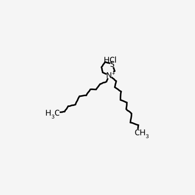 CCCCCCCCCC[N+]1(CCCCCCCCCC)CCCSC1.Cl